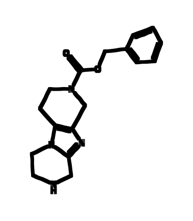 O=C(OCc1ccccc1)N1CCc2c(nc3n2CCNC3)C1